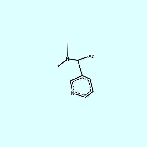 CC(=O)C(c1cccnc1)N(C)C